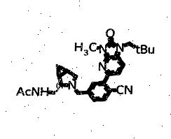 CC(=O)NC[C@@H]1C2CC2CN1Cc1ccc(C#N)c(-c2ccc3c(n2)n(C)c(=O)n3CC(C)(C)C)c1